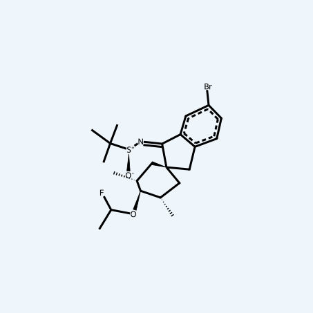 CC(F)O[C@H]1[C@H](C)C[C@@]2(Cc3ccc(Br)cc3/C2=N/[S@@+]([O-])C(C)(C)C)C[C@@H]1C